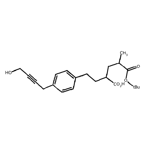 CC(CC(CCc1ccc(CC#CCO)cc1)C(=O)O)C(=O)OC(C)(C)C